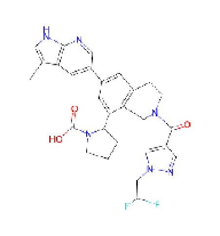 Cc1c[nH]c2ncc(-c3cc4c(c(C5CCCN5C(=O)O)c3)CN(C(=O)c3cnn(CC(F)F)c3)CC4)cc12